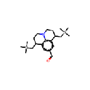 C[Si](C)(C)CC1CCN2CCC(C[Si](C)(C)C)c3cc(C=O)cc1c32